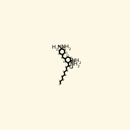 CCCCCCCCC(=O)C1CC(CC2CCC(N)(N)CC2)CCC1(N)N